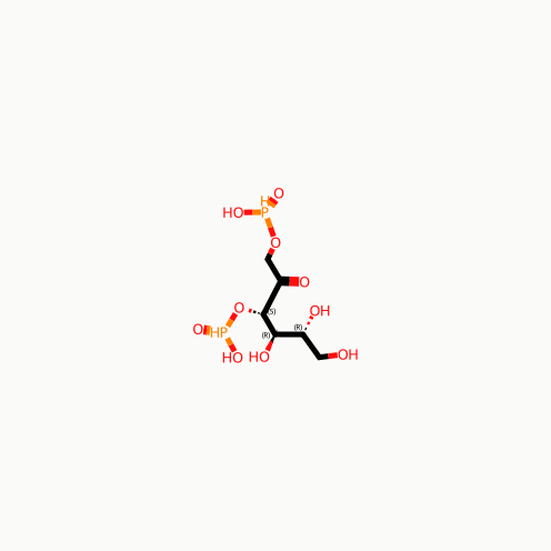 O=C(CO[PH](=O)O)[C@@H](O[PH](=O)O)[C@H](O)[C@H](O)CO